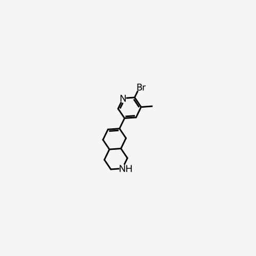 Cc1cc(C2=CCC3CCNCC3C2)cnc1Br